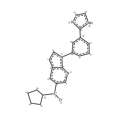 [O-][S+](c1cnc2c(ccn2-c2cccc(-c3nnc[nH]3)c2)c1)C1CCCC1